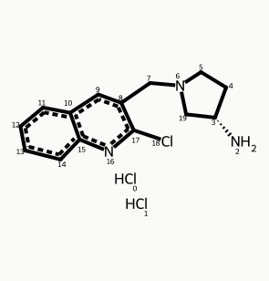 Cl.Cl.N[C@H]1CCN(Cc2cc3ccccc3nc2Cl)C1